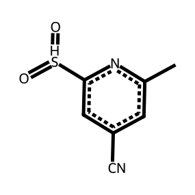 Cc1cc(C#N)cc([SH](=O)=O)n1